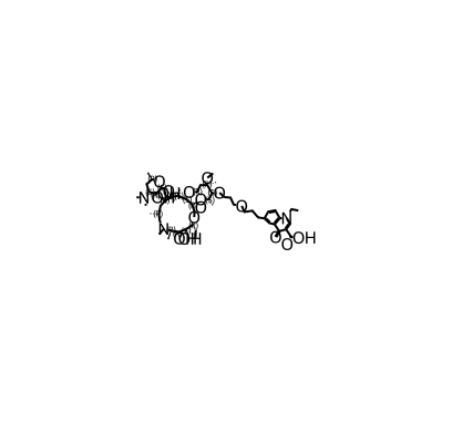 CC[C@H]1OC(=O)[C@H](C)[C@@H](O[C@H]2C[C@@](C)(OC)[C@@H](OCCCOCCCc3ccc4c(c3)c(=O)c(C(=O)O)cn4CC)[C@H](C)O2)[C@H](C)[C@@H](O[C@@H]2O[C@H](C)C[C@H](N(C)C)[C@H]2O)[C@](C)(O)C[C@@H](C)CN(C)[C@H](C)[C@@H](O)[C@]1(C)O